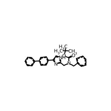 CC(C)(C)OC(=O)N(Cc1ccccc1)Cc1nc(-c2ccc(-c3ccccc3)cc2)c[nH]1